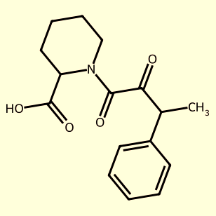 CC(C(=O)C(=O)N1CCCCC1C(=O)O)c1ccccc1